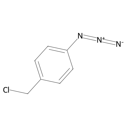 [N-]=[N+]=Nc1ccc(CCl)cc1